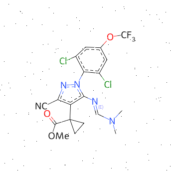 COC(=O)C1(c2c(C#N)nn(-c3c(Cl)cc(OC(F)(F)F)cc3Cl)c2/N=C/N(C)C)CC1